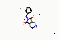 O=C1C2CCNCC2C(=O)N1Cc1ccccc1